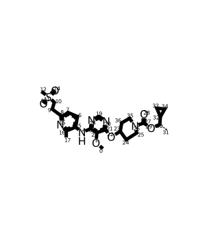 COc1c(Nc2ccc(CCS(C)(=O)=O)nc2C)ncnc1OC1CCN(C(=O)O[C@@H](C)C2CC2)CC1